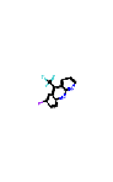 FC(F)(F)c1c2cc(I)ccc2nc2ncccc12